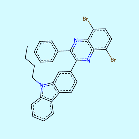 CCCCn1c2ccccc2c2ccc(-c3nc4c(Br)ccc(Br)c4nc3-c3ccccc3)cc21